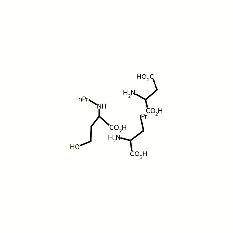 CC(C)CC(N)C(=O)O.CCCNC(CCO)C(=O)O.NC(CC(=O)O)C(=O)O